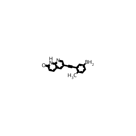 Bc1ccc(C)c(C#Cc2cnc3[nH]c(=O)ccc3c2)c1